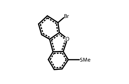 CSc1cccc2c1oc1c(Br)cccc12